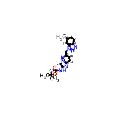 Cc1ccc2nnn(Cc3ccc4nc(NC(=O)OC(C)(C)C)cn4n3)c2c1